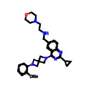 COc1ccccc1N1CC2(C1)CN(c1nc(C3CC3)nc3ccc(CNCCN4CCOCC4)cc13)C2